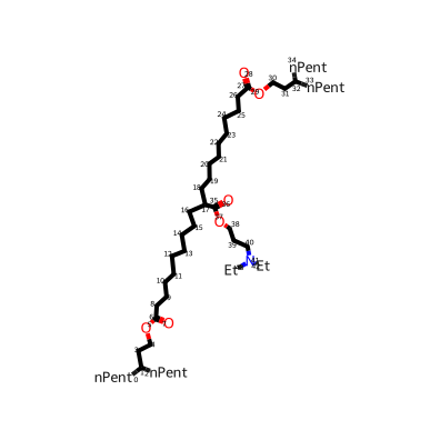 CCCCCC(CCCCC)CCOC(=O)CCCCCCCCCC(CCCCCCCCCC(=O)OCCC(CCCCC)CCCCC)C(=O)OCCCN(CC)CC